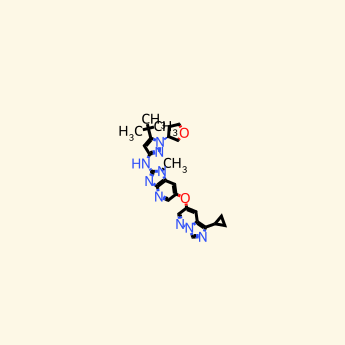 Cn1c(Nc2cc(C(C)(C)C)n([C@H]3CCOC3)n2)nc2ncc(Oc3cnn4cnc(C5CC5)c4c3)cc21